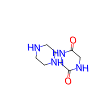 C1CNCCN1.O=C1CNC(=O)CN1